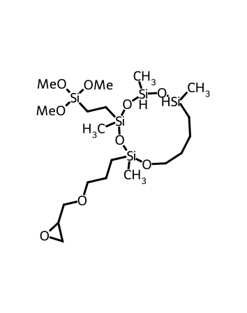 CO[Si](CC[Si]1(C)O[SiH](C)O[SiH](C)CCCCO[Si](C)(CCCOCC2CO2)O1)(OC)OC